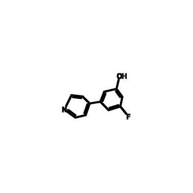 Oc1cc(F)cc(-c2ccncc2)c1